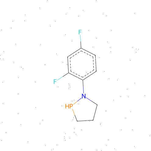 Fc1ccc(N2CCCP2)c(F)c1